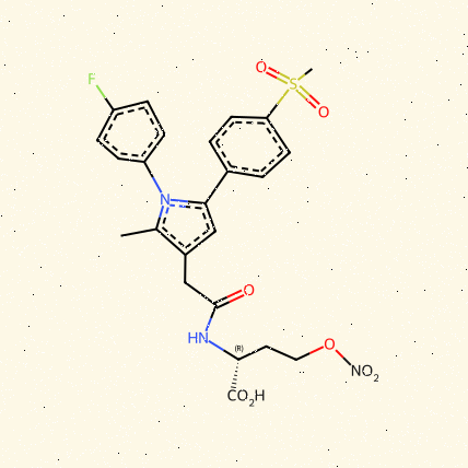 Cc1c(CC(=O)N[C@H](CCO[N+](=O)[O-])C(=O)O)cc(-c2ccc(S(C)(=O)=O)cc2)n1-c1ccc(F)cc1